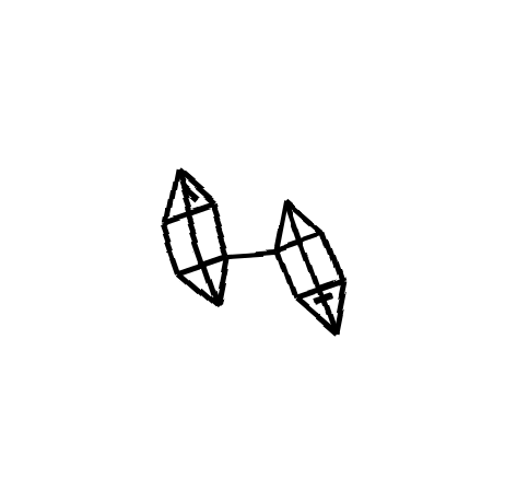 C12=C3C1C1C2C31C12C3=C4C3C1C42